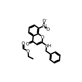 CCOC=O.O=c1cc(NCc2ccccc2)oc2c([N+](=O)[O-])cccc12